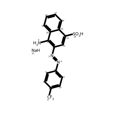 Nc1c(N=Nc2ccc(C(F)(F)F)cc2)cc(S(=O)(=O)O)c2ccccc12.[NaH]